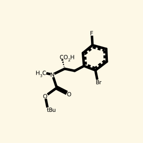 CN(C(=O)OC(C)(C)C)[C@@H](Cc1cc(F)ccc1Br)C(=O)O